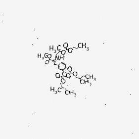 CCCOC(=O)OC(C)CN[C@@H](Cc1ccc(OC(=O)OCC(C)CC)c(OC(=O)OCC(C)CC)c1)C(=O)OC